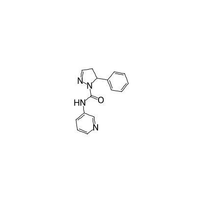 O=C(Nc1cccnc1)N1N=CCC1c1ccccc1